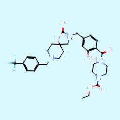 CCOC(=O)N1CCN(C(=O)c2ccc(CN3CC4(CCN(Cc5ccc(C(F)(F)F)cc5)CC4)OC3=O)cc2O)CC1